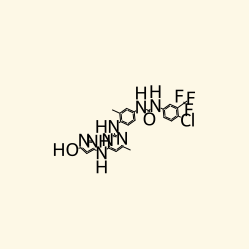 Cc1cc(Nc2cc(O)n[nH]2)nc(Nc2ccc(NC(=O)Nc3ccc(Cl)c(C(F)(F)F)c3)cc2C)n1